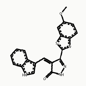 COc1ccc2nc(C3=NNC(=O)C3=Cc3c[nH]c4ccccc34)sc2c1